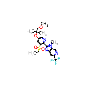 CCS(=O)(=O)c1cc(OC(C)(C)COC)cnc1-c1nc2cc(C(F)(F)F)ncc2n1C